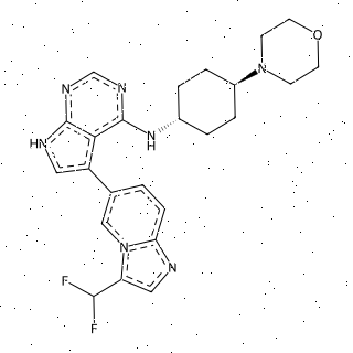 FC(F)c1cnc2ccc(-c3c[nH]c4ncnc(N[C@H]5CC[C@H](N6CCOCC6)CC5)c34)cn12